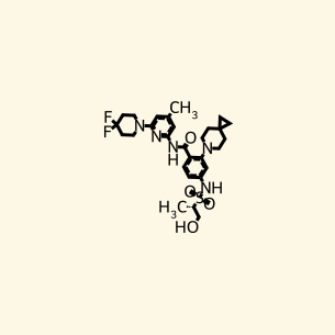 Cc1cc(NC(=O)c2ccc(NS(=O)(=O)[C@@H](C)CO)cc2N2CCC3(CC2)CC3)nc(N2CCC(F)(F)CC2)c1